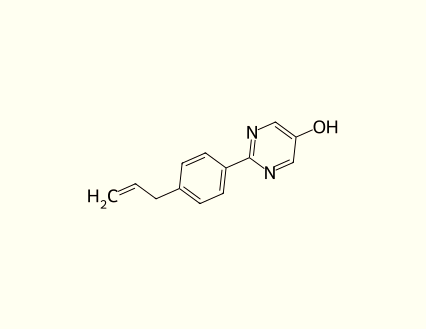 C=CCc1ccc(-c2ncc(O)cn2)cc1